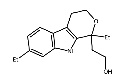 CCc1ccc2c3c([nH]c2c1)C(CC)(CCO)OCC3